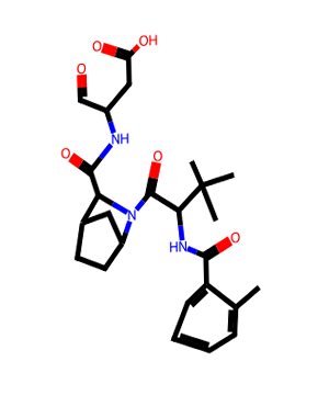 Cc1ccccc1C(=O)NC(C(=O)N1C2CCC(C2)C1C(=O)NC(C=O)CC(=O)O)C(C)(C)C